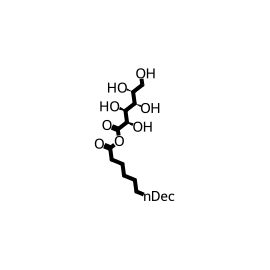 CCCCCCCCCCCCCCCC(=O)OC(=O)[C@H](O)[C@@H](O)[C@@H](O)[C@H](O)CO